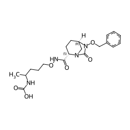 CC(CCCONC(=O)[C@@H]1CC[C@@H]2CN1C(=O)N2OCc1ccccc1)NC(=O)O